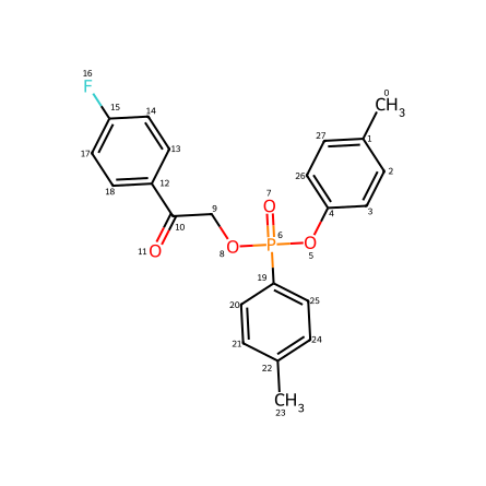 Cc1ccc(OP(=O)(OCC(=O)c2ccc(F)cc2)c2ccc(C)cc2)cc1